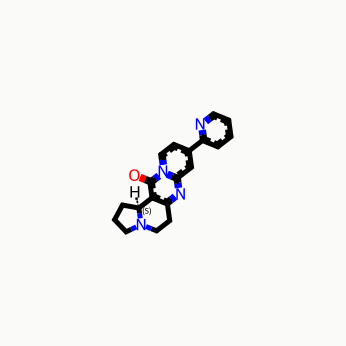 O=c1c2c(nc3cc(-c4ccccn4)ccn13)CCN1CCC[C@@H]21